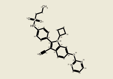 CCCS(=O)(=O)Nc1ccc(-c2c(C#N)c3ccc(Oc4ncccn4)cc3n2C2CCC2)cc1